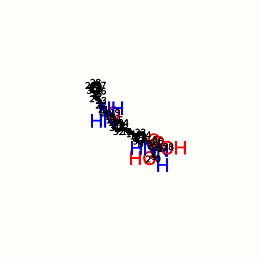 C[C@@H](O)[C@H](NC(=O)c1ccc(C#Cc2ccc(NC(=O)CNCCCc3ccccc3)cc2)cc1)C(=O)NO